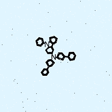 C1=C2c3ccccc3N(c3ccccc3)C2CC=C1N(c1ccc(-c2ccccc2)cc1)c1ccc(-c2ccccc2)cc1